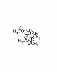 CC(=O)OCC(C)OC(OCCCBr)C(OC(C)=O)C(COC(C)=O)OC(C)=O